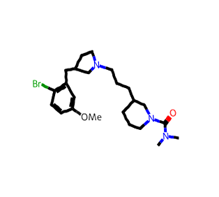 COc1ccc(Br)c(CC2CCN(CCCC3CCCN(C(=O)N(C)C)C3)C2)c1